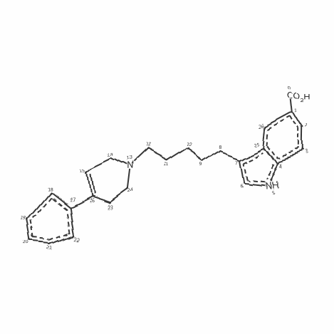 O=C(O)c1ccc2[nH]cc(CCCCCN3CC=C(c4ccccc4)CC3)c2c1